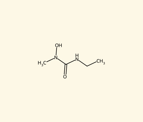 CCNC(=O)N(C)O